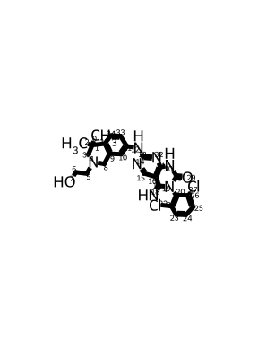 CC1(C)CN(CCO)Cc2cc(Nc3ncc4c(=N)n(-c5c(Cl)cccc5Cl)c(=O)[nH]c4n3)ccc21